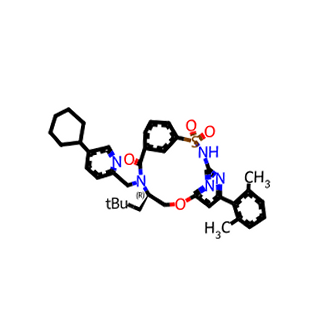 Cc1cccc(C)c1-c1cc2nc(n1)NS(=O)(=O)c1cccc(c1)C(=O)N(Cc1ccc(C3CCCCC3)cn1)[C@H](CC(C)(C)C)CO2